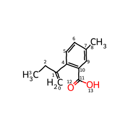 C=C(CC)c1ccc(C)cc1C(=O)O